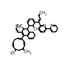 C=C/C=C(\C1=CC=CC(C2C3=C(C=CCC3)C(C3=C/C/C=C\C(CC)CC(=C)/C=C\3)=C(/C=C\CC)C2C)C1C)c1cccc(C2=CCCC=N2)n1